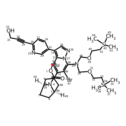 CC(C)(C)OC(=O)N1[C@@H]2CC[C@H]1C[C@@H](c1nc3c(-c4ccc(C#CCO)nc4)cnn3c(N(COCC[Si](C)(C)C)COCC[Si](C)(C)C)c1Br)C2